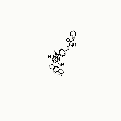 CC1(C)CCc2c1nc1c(c2NC(=O)N=S(N)(=O)c2ccc(CCNC(=O)CN3CCCCC3)cc2)CCC1